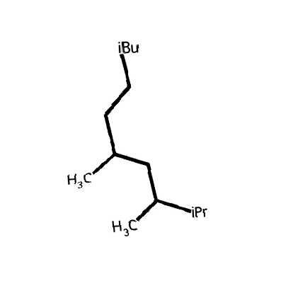 CCC(C)CCC(C)CC(C)C(C)C